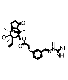 C=C[C@]1(C)C[C@@H](OC(=O)CSc2cccc(/C=N/NC(=N)N)c2)[C@]2(C)C(C)CCC3(CCC(=O)C32)[C@@H](C)[C@@H]1O